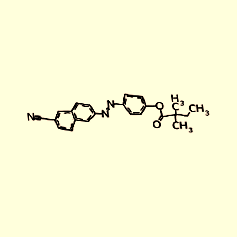 CCC(C)(C)C(=O)Oc1ccc(/N=N/c2ccc3cc(C#N)ccc3c2)cc1